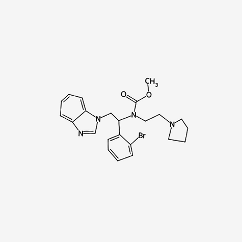 COC(=O)N(CCN1CCCC1)C(Cn1cnc2ccccc21)c1ccccc1Br